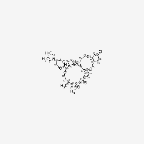 CCN(CC)[C@H]1CO[C@H]([C@@H]2CCC[C@H](C)[C@@H](C)S(=O)(=O)NC(=O)c3ccc4c(c3)N(CCCCc3cc(Cl)ccc3CO4)C[C@@H]3CC[C@H]32)OC1